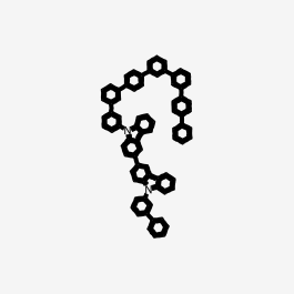 c1ccc(-c2ccc(-c3cccc(-c4cccc(-c5ccc(-c6cccc(-c7cccc(-n8c9ccccc9c9cc(-c%10ccc%11c(c%10)c%10ccccc%10n%11-c%10cccc(-c%11ccccc%11)c%10)ccc98)c7)c6)cc5)c4)c3)cc2)cc1